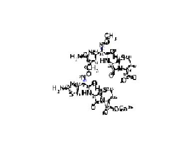 CO/N=C(\C(=O)NC1C(=O)N2C(C(=O)[O-])=CCS[C@H]12)c1csc(N)n1.CO/N=C(\C(=O)NC1C(=O)N2C(C(=O)[O-])=CCS[C@H]12)c1csc(N)n1.[Ca+2]